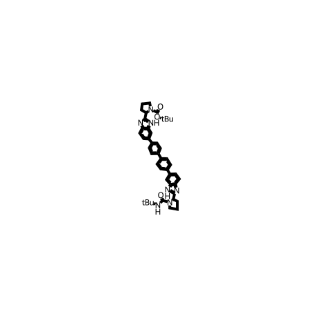 CC(C)(C)NC(=O)N1CCCC1c1nc2ccc(-c3ccc(-c4ccc(-c5ccc6nc(C7CCCN7C(=O)OC(C)(C)C)[nH]c6c5)cc4)cc3)cc2[nH]1